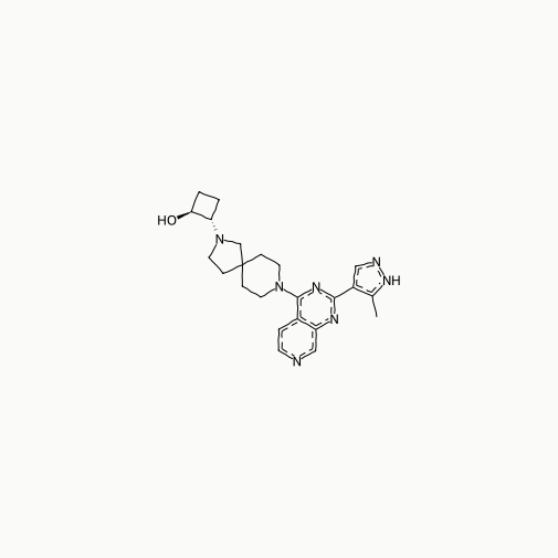 Cc1[nH]ncc1-c1nc(N2CCC3(CC2)CCN([C@H]2CC[C@@H]2O)C3)c2ccncc2n1